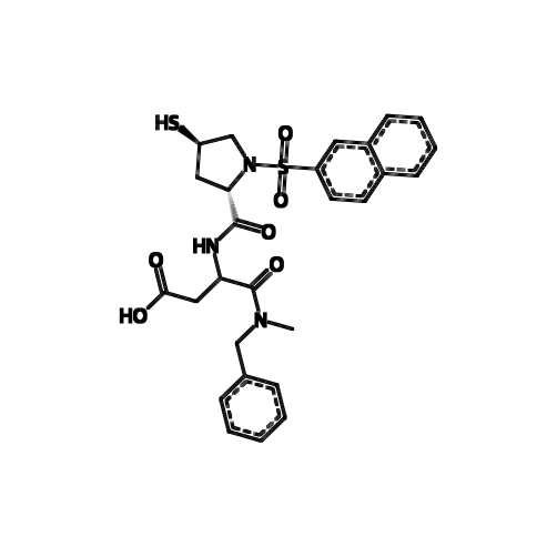 CN(Cc1ccccc1)C(=O)C(CC(=O)O)NC(=O)[C@@H]1C[C@@H](S)CN1S(=O)(=O)c1ccc2ccccc2c1